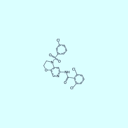 O=C(Nc1cc2c(cn1)OCCN2S(=O)(=O)c1cccc(Cl)c1)c1c(Cl)cccc1Cl